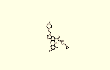 Cc1cc(Cl)ccc1Nc1c(C(=O)CNOCC2CC2)cc2c(ncn2CCN2CCN(C)CC2)c1F